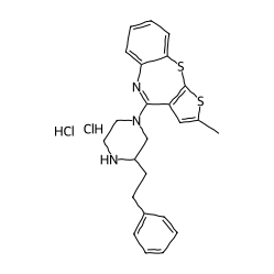 Cc1cc2c(s1)Sc1ccccc1N=C2N1CCNC(CCc2ccccc2)C1.Cl.Cl